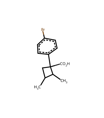 CC1CC(C(=O)O)(c2ccc(Br)cc2)C1C